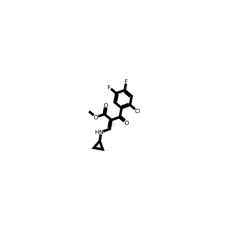 COC(=O)/C(=C\NC1CC1)C(=O)c1cc(F)c(F)cc1Cl